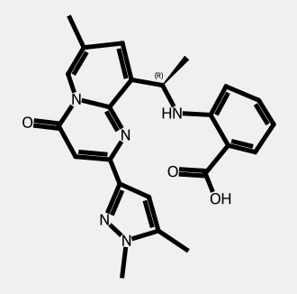 Cc1cc([C@@H](C)Nc2ccccc2C(=O)O)c2nc(-c3cc(C)n(C)n3)cc(=O)n2c1